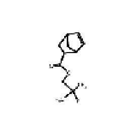 O=C(OCC(F)(C(F)(F)F)C(F)(F)F)C1CC2C=CC1C2